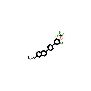 CCc1ccc2cc(-c3ccc(-c4cc(F)c(OC(F)(F)F)c(F)c4)cc3)ccc2c1